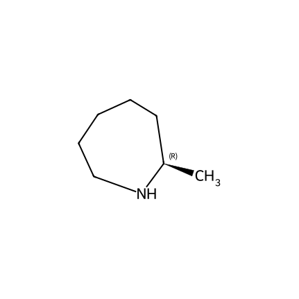 C[C@@H]1CCCCCN1